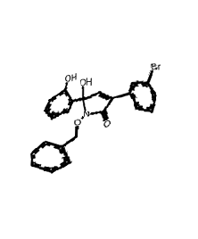 O=C1C(c2cccc(Br)c2)=CC(O)(c2ccccc2O)N1OCc1ccccc1